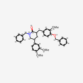 COc1ccc(C2CC(Cc3ccc(OCc4ccccc4)c(OC)c3)C(=O)N(Cc3ccccc3)C2)cc1OC